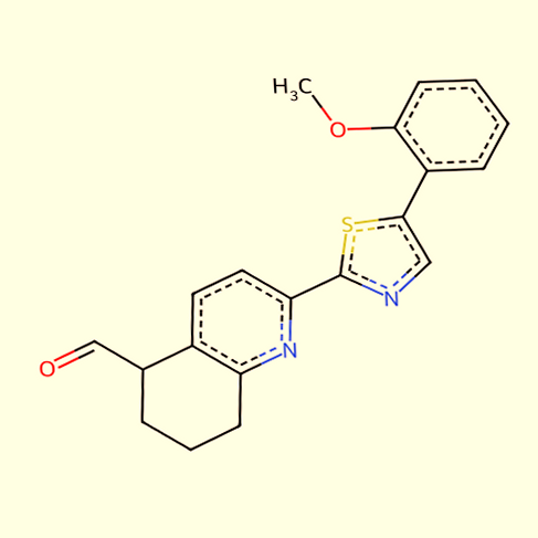 COc1ccccc1-c1cnc(-c2ccc3c(n2)CCCC3C=O)s1